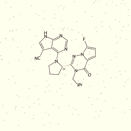 CC(C)Cn1c([C@@H]2CCCN2c2ncnc3[nH]cc(C#N)c23)nn2c(F)ccc2c1=O